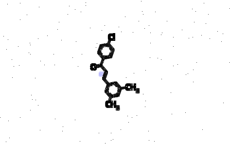 Cc1cc(C)cc(/C=C/C(=O)c2ccc(Cl)cc2)c1